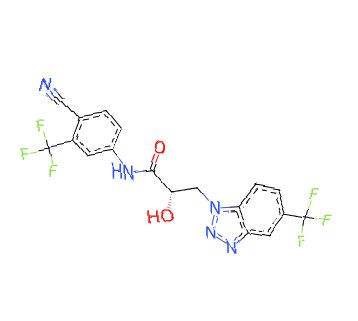 N#Cc1ccc(NC(=O)[C@@H](O)Cn2nnc3cc(C(F)(F)F)ccc32)cc1C(F)(F)F